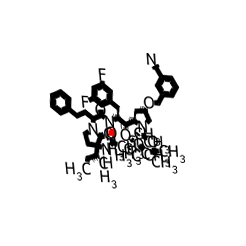 CC[C@@H](C)C1(NC(C)=O)CCN(C(CCc2ccccc2)C(=O)N[C@@H](Cc2cc(F)cc(F)c2)[C@H](O[Si](C)(C)C(C)(C)C)[C@H]2C[C@@H](OCc3cccc(C#N)c3)CN2C(=O)OC(C)(C)C)C1=O